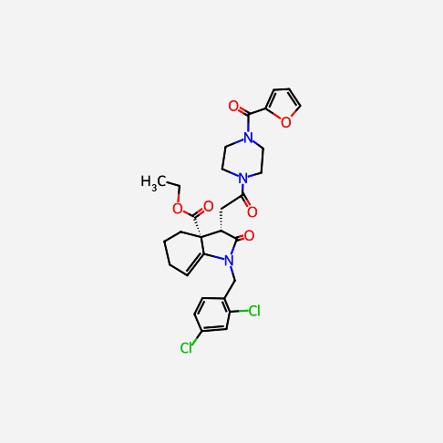 CCOC(=O)[C@@]12CCCC=C1N(Cc1ccc(Cl)cc1Cl)C(=O)[C@H]2CC(=O)N1CCN(C(=O)c2ccco2)CC1